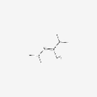 CC(C)N=C(N)C(C)C